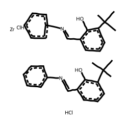 CC(C)(C)c1cccc(C=Nc2ccccc2)c1O.CC(C)(C)c1cccc(C=Nc2ccccc2)c1O.Cl.Cl.[Zr]